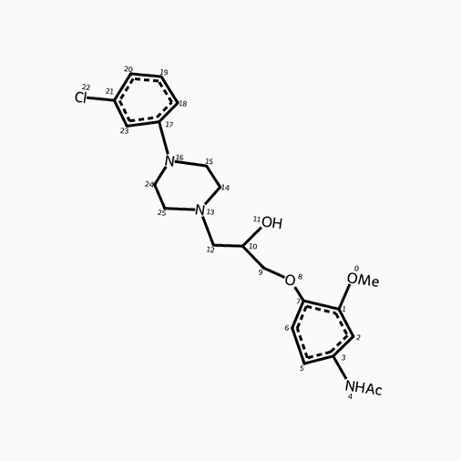 COc1cc(NC(C)=O)ccc1OCC(O)CN1CCN(c2cccc(Cl)c2)CC1